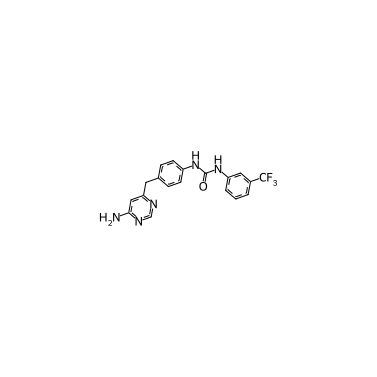 Nc1cc(Cc2ccc(NC(=O)Nc3cccc(C(F)(F)F)c3)cc2)ncn1